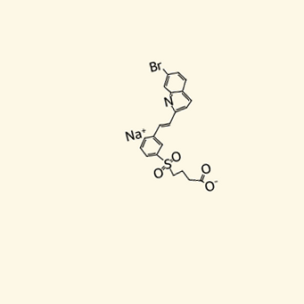 O=C([O-])CCCS(=O)(=O)c1cccc(C=Cc2ccc3ccc(Br)cc3n2)c1.[Na+]